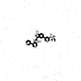 CCS(=O)(=O)Nc1cncc(-c2ccc3[nH]nc(-c4nc5c(-c6cccnc6)cncc5[nH]4)c3c2)c1